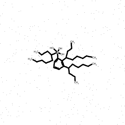 CCCCCC(CCC)c1cccc(P(O)(O)(O)C(CCC)CCCCC)c1C(CCC)CCCCC